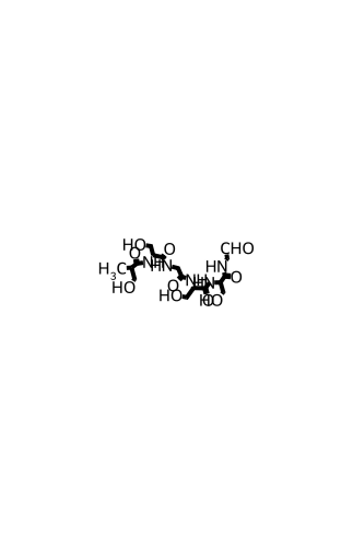 CC(CO)C(=O)NC(CO)C(=O)NCC(=O)NC(CO)C(=O)NC(CO)C(=O)NCC=O